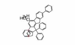 C1=CCC(C(c2ccccc2)(c2ccccc2)c2c(-c3ccccc3)ccc3c2Cc2cc(-c4ccccc4)ccc2-3)=C1.Cl.Cl.[Zr]